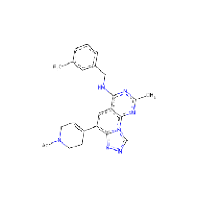 CC(=O)N1CC=C(c2cc3c(NCc4cccc(C(F)(F)F)c4)nc(C)nc3n3cnnc23)CC1